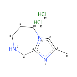 Cc1cn2c(n1)CNCCC2.Cl.Cl